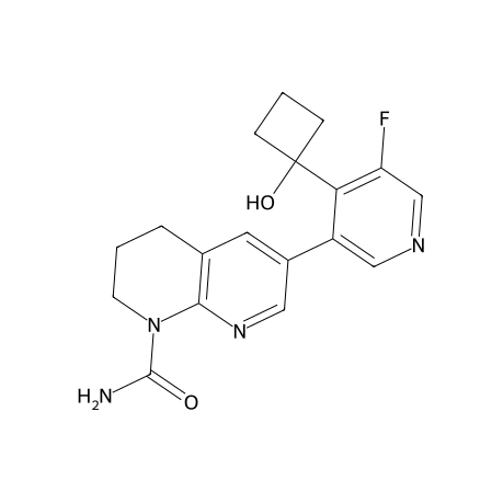 NC(=O)N1CCCc2cc(-c3cncc(F)c3C3(O)CCC3)cnc21